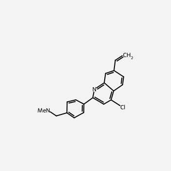 C=Cc1ccc2c(Cl)cc(-c3ccc(CNC)cc3)nc2c1